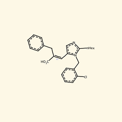 CCCCCCc1ncc(/C=C(\Cc2ccccc2)C(=O)O)n1Cc1ccccc1Cl